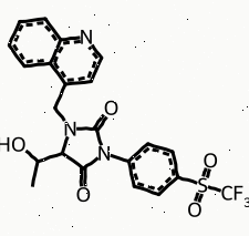 CC(O)C1C(=O)N(c2ccc(S(=O)(=O)C(F)(F)F)cc2)C(=O)N1Cc1ccnc2ccccc12